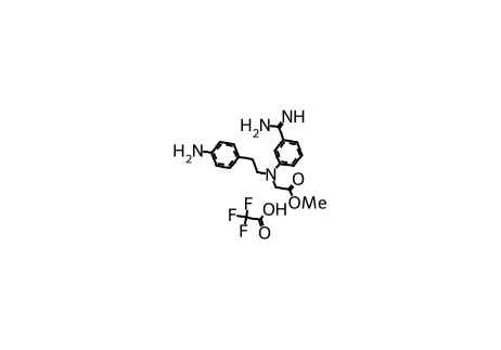 COC(=O)CN(CCc1ccc(N)cc1)c1cccc(C(=N)N)c1.O=C(O)C(F)(F)F